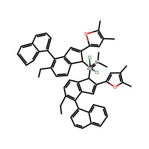 CCc1ccc2c(c1-c1cccc3ccccc13)C=C(c1cc(C)c(C)o1)[CH]2[Zr]([Cl])([Cl])([CH]1C(c2cc(C)c(C)o2)=Cc2c1ccc(CC)c2-c1cccc2ccccc12)=[Si](C)C